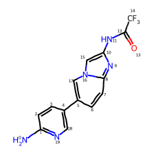 Nc1ccc(-c2ccc3nc(NC(=O)C(F)(F)F)cn3c2)cn1